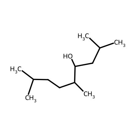 CC(C)CCC(C)C(O)CC(C)C